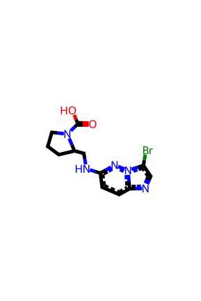 O=C(O)N1CCCC1CNc1ccc2ncc(Br)n2n1